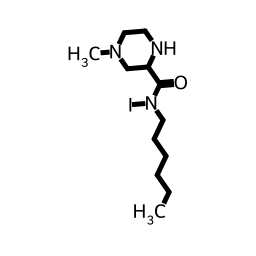 CCCCCCN(I)C(=O)C1CN(C)CCN1